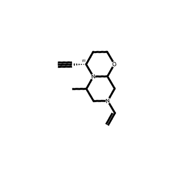 C#C[C@@H]1CCOC2CN(C=C)CC(C)N21